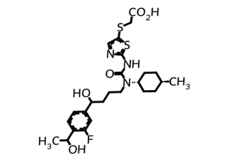 CC(O)c1ccc(C(O)CCCN(C(=O)Nc2ncc(SCC(=O)O)s2)[C@H]2CC[C@H](C)CC2)cc1F